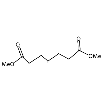 COC(=O)CC[CH]CCC(=O)OC